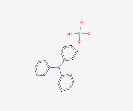 [O-][Cl+3]([O-])([O-])O.c1ccc(N(c2ccccc2)c2ccccc2)cc1